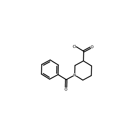 O=C(Cl)C1CCCN(C(=O)c2ccccc2)C1